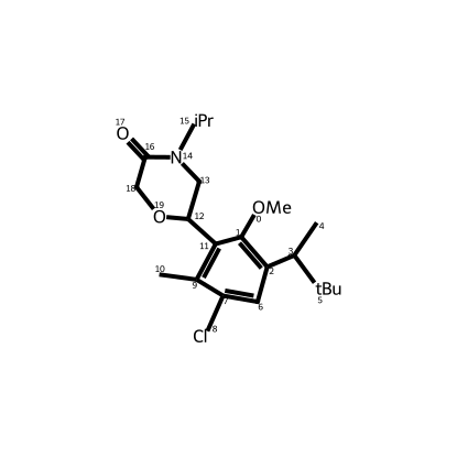 COc1c([C](C)C(C)(C)C)cc(Cl)c(C)c1C1CN(C(C)C)C(=O)CO1